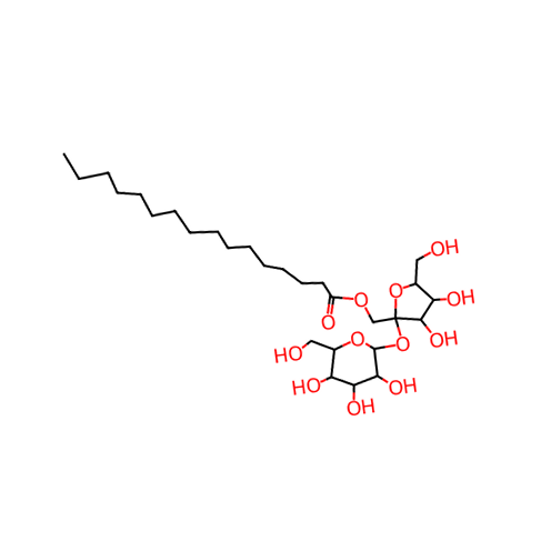 CCCCCCCCCCCCCCCC(=O)OCC1(OC2OC(CO)C(O)C(O)C2O)OC(CO)C(O)C1O